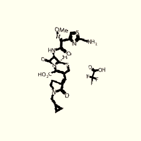 CON=C(C(=O)N[C@@H]1C(=O)N2C(C(=O)O)=C(C=C3CCN(CC4CC4)C3=O)CS[C@H]12)c1csc(N)n1.O=C(O)C(F)(F)F